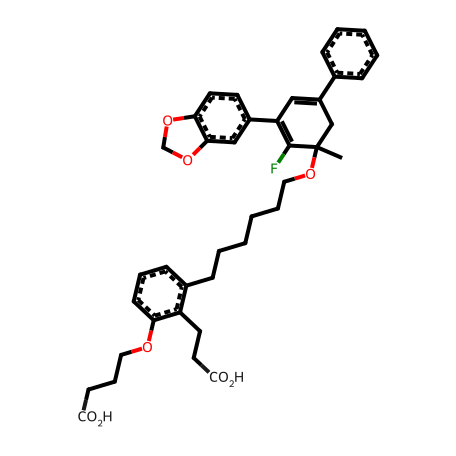 CC1(OCCCCCCc2cccc(OCCCC(=O)O)c2CCC(=O)O)CC(c2ccccc2)=CC(c2ccc3c(c2)OCO3)=C1F